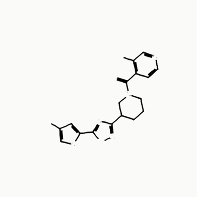 Cc1c[nH]c(-c2nc(C3CCCN(C(=O)c4ccncc4F)C3)no2)c1